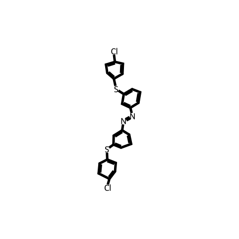 Clc1ccc(Sc2cccc(N=Nc3cccc(Sc4ccc(Cl)cc4)c3)c2)cc1